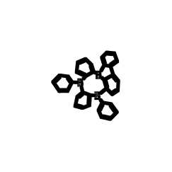 c1ccc(B2c3ccccc3B(c3ccccc3)c3cccc4c3B(c3ccccc32)c2ccccc2-4)cc1